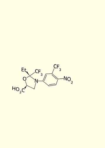 CC[C@]1(C(F)(F)F)O[C@H](C(=O)O)CN1c1ccc([N+](=O)[O-])c(C(F)(F)F)c1